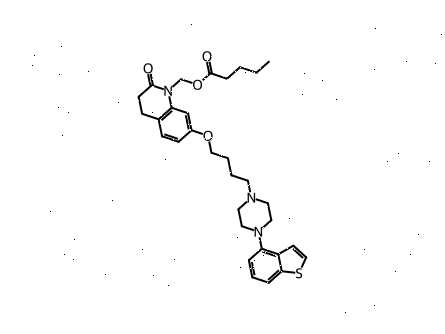 CCCCC(=O)OCN1C(=O)CCc2ccc(OCCCCN3CCN(c4cccc5sccc45)CC3)cc21